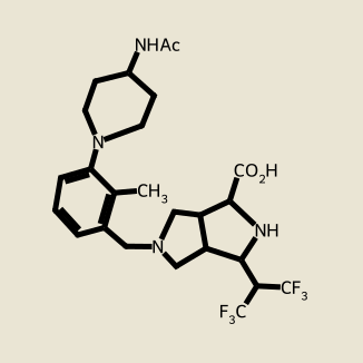 CC(=O)NC1CCN(c2cccc(CN3CC4C(C(=O)O)NC(C(C(F)(F)F)C(F)(F)F)C4C3)c2C)CC1